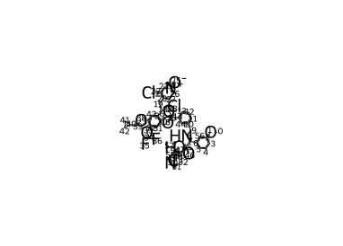 COc1cccc(C(NCc2cccc(C(=O)OC(Cc3c(Cl)c[n+]([O-])cc3Cl)c3ccc(OC(F)F)c(OCC4CC4)c3)c2)C(=O)O[C@H]2CN3CCC2CC3)c1